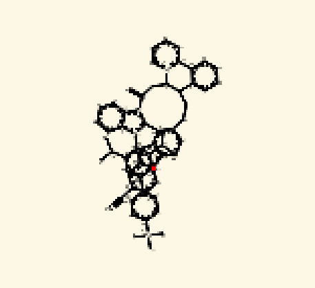 C=C1CC2C(CCc3ccc4c(oc5cc(C#N)ccc54)c3-c3n(-c4c(C(C)C)cc(-c5ccc([Si](C)(C)C)cc5)cc4C(C)C)c4ccccc4[n+]31)c1ccccc1-c1cccc[n+]12